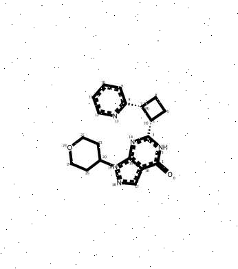 O=c1[nH]c([C@H]2CC[C@H]2c2ccccn2)nc2c1cnn2C1CCOCC1